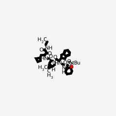 C=CCNC(=O)C(=O)C(CC1CCC1)NC(=O)[C@@H]1C2[C@H](CN1C(=O)[C@@H](NC(=O)NC1(CS(=O)(=O)C(C)(C)C)CCCCC1)C1Cc3ccccc3C1)C2(C)C